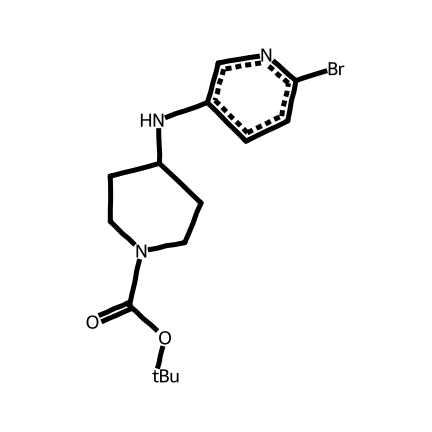 CC(C)(C)OC(=O)N1CCC(Nc2ccc(Br)nc2)CC1